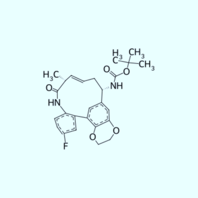 C[C@@H]1/C=C/C[C@H](NC(=O)OC(C)(C)C)c2cc3c(c(c2)-c2cc(F)ccc2NC1=O)OCCO3